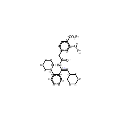 CCOC(=O)c1ccc(CC(=O)N/C(=C/C2CCCCC2)c2ccccc2N2CCCCC2)cc1OCC